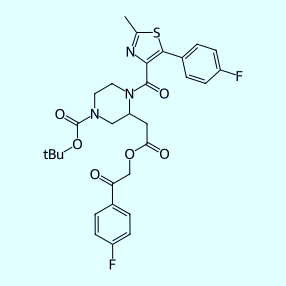 Cc1nc(C(=O)N2CCN(C(=O)OC(C)(C)C)CC2CC(=O)OCC(=O)c2ccc(F)cc2)c(-c2ccc(F)cc2)s1